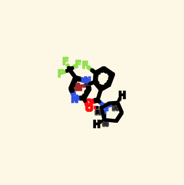 O=C(c1cccc(F)c1Br)N1[C@@H]2CC[C@H]1[C@H](Oc1cnc(C(F)(F)F)cn1)C2